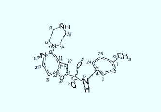 Cc1ccc(NS(=O)(=O)c2cc3c(N4CCNCC4)nccc3o2)cc1